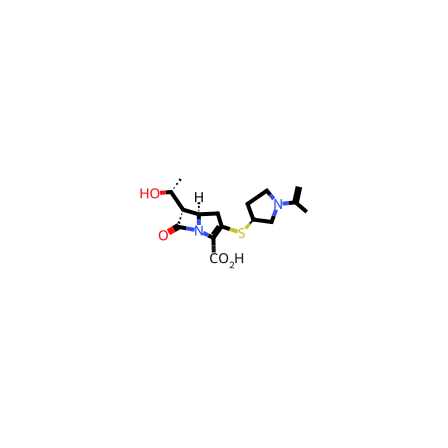 C=C(C)N1CC[C@H](SC2=C(C(=O)O)N3C(=O)[C@H]([C@@H](C)O)[C@H]3C2)C1